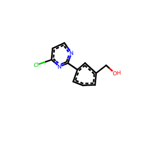 OCc1cccc(-c2nccc(Cl)n2)c1